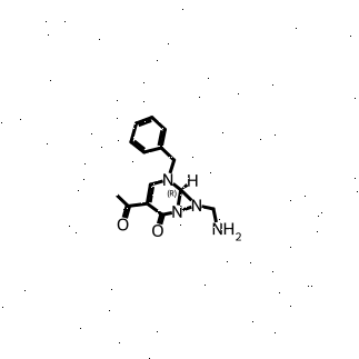 CC(=O)C1=CN(Cc2ccccc2)[C@@H]2N(CN)N2C1=O